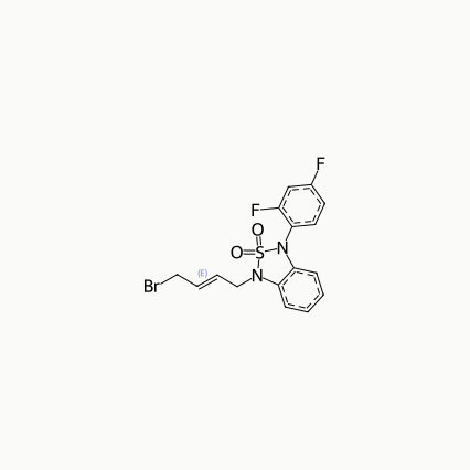 O=S1(=O)N(C/C=C/CBr)c2ccccc2N1c1ccc(F)cc1F